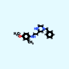 COc1ccc(NCC[C@@H]2CN(Cc3ccccc3)CCN2)c(C)c1